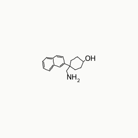 NCC1(c2ccc3ccccc3c2)CCC(O)CC1